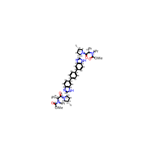 COC(=O)N(C(C)C)[C@H](C(=O)N1C[C@@H](C)C[C@H]1c1nc2cc(-c3ccc(-c4ccc5nc([C@@H]6C[C@H](C)CN6C(=O)[C@H](C(C)C)N(C(=O)OC)C(C)C)[nH]c5c4)cc3)ccc2[nH]1)C(C)C